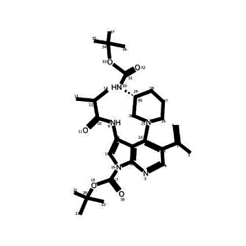 C=C(C)c1cnc2c(c(NC(=O)C(C)C)cn2C(=O)OC(C)(C)C)c1N1CCC[C@@H](NC(=O)OC(C)(C)C)C1